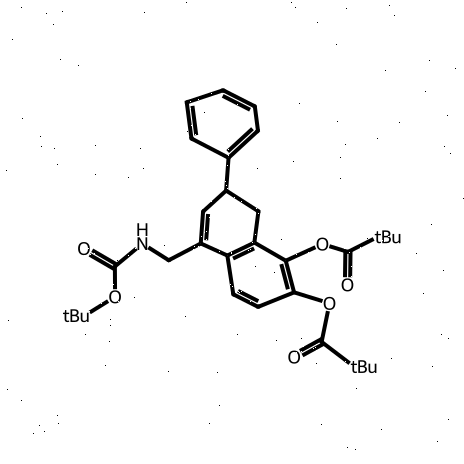 CC(C)(C)OC(=O)NCC1=CC(c2ccccc2)Cc2c1ccc(OC(=O)C(C)(C)C)c2OC(=O)C(C)(C)C